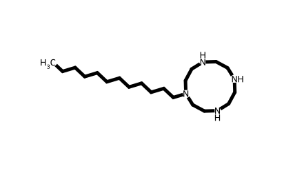 CCCCCCCCCCCCN1CCNCCNCCNCC1